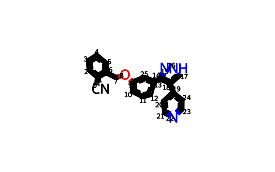 N#Cc1ccccc1COc1cccc(-c2n[nH]cc2-c2ccncc2)c1